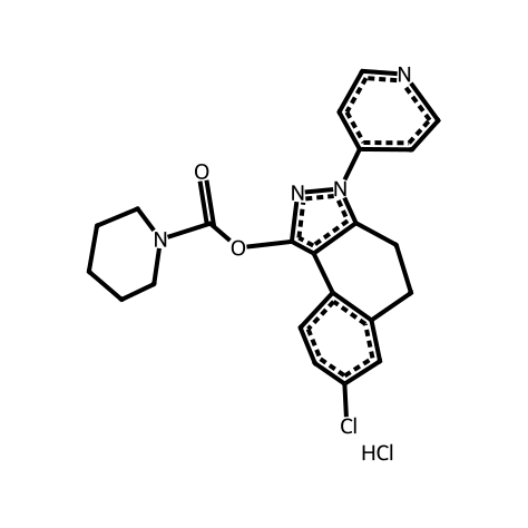 Cl.O=C(Oc1nn(-c2ccncc2)c2c1-c1ccc(Cl)cc1CC2)N1CCCCC1